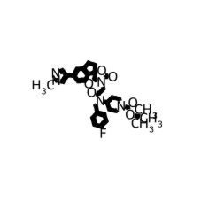 Cn1cc(-c2ccc3c(c2)CCC32OC(=O)N(CC(=O)N(Cc3ccc(F)cc3)C3CCN(C(=O)OC(C)(C)C)CC3)C2=O)cn1